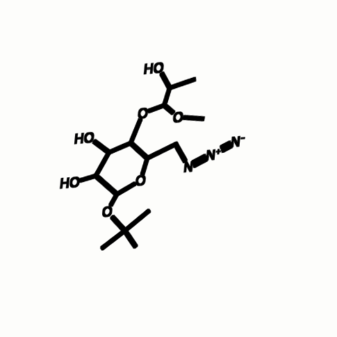 COC(OC1C(CN=[N+]=[N-])OC(OC(C)(C)C)C(O)C1O)C(C)O